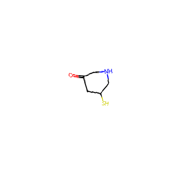 O=C1CNCC(S)C1